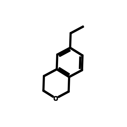 CCc1ccc2c(c1)CCOC2